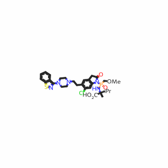 COCP(=O)(NC(C)(C(=O)O)C(C)C)N1C(=O)Cc2cc(CCN3CCN(c4nsc5ccccc45)CC3)c(Cl)cc21